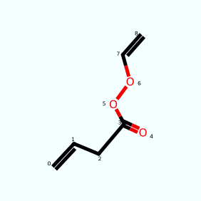 C=CCC(=O)OOC=C